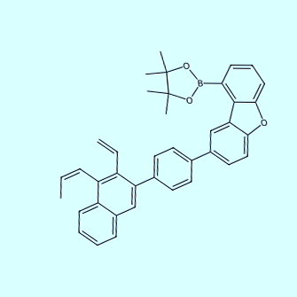 C=Cc1c(-c2ccc(-c3ccc4oc5cccc(B6OC(C)(C)C(C)(C)O6)c5c4c3)cc2)cc2ccccc2c1/C=C\C